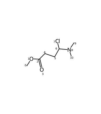 COC(=O)CCC(Cl)N(C)C